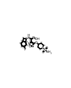 NS(=O)(=O)N1CCC(Oc2nonc2/C(=N\O)N[C@H]2Cc3ccc(F)cc32)CC1